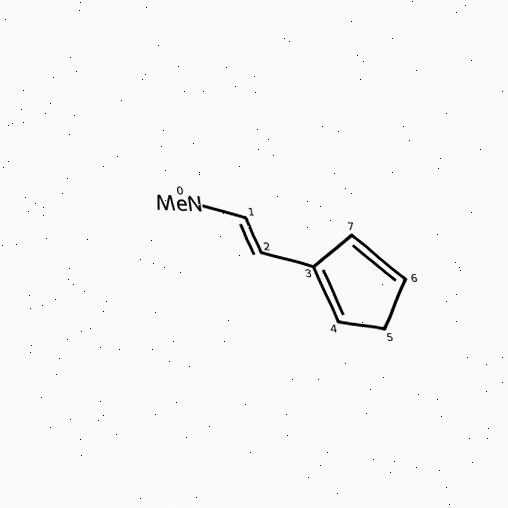 CNC=CC1=CCC=C1